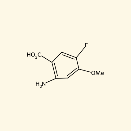 COc1cc(N)c(C(=O)O)cc1F